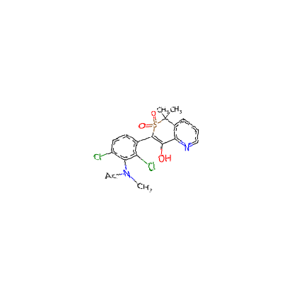 CC(=O)N(C)c1c(Cl)ccc(C2=C(O)c3ncccc3C(C)(C)S2(=O)=O)c1Cl